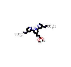 CCOC(=O)/C=C/c1ccnc(-c2cc(/C=C/C(OCC)OCC)cc(-c3cc(/C=C/C(=O)OCC)ccn3)n2)c1